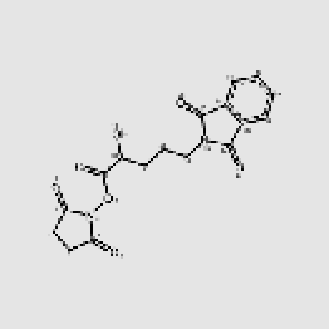 O=C(ON1C(=O)CCC1=O)C(O)CCCN1C(=O)c2ccccc2C1=O